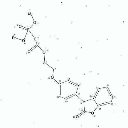 CCOP(=O)(CC(=O)OCCOc1ccc(C2C(=O)Oc3ccccc32)cc1)OCC